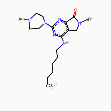 CC(=O)N1CCN(c2nc(NCCCCCC(=O)O)c3c(n2)C(=O)N(C(C)C)C3)CC1